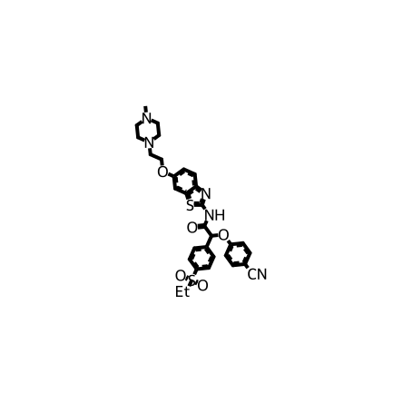 CCS(=O)(=O)c1ccc(C(Oc2ccc(C#N)cc2)C(=O)Nc2nc3ccc(OCCN4CCN(C)CC4)cc3s2)cc1